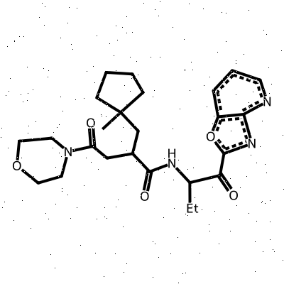 CCC(NC(=O)C(CC(=O)N1CCOCC1)CC1(C)CCCC1)C(=O)c1nc2ncccc2o1